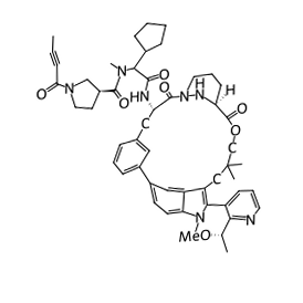 CC#CC(=O)N1CC[C@H](C(=O)N(C)C(C(=O)N[C@H]2Cc3cccc(c3)-c3ccc4c(c3)c(c(-c3cccnc3[C@H](C)OC)n4C)CC(C)(C)COC(=O)[C@@H]3CCCN(N3)C2=O)C2CCCC2)C1